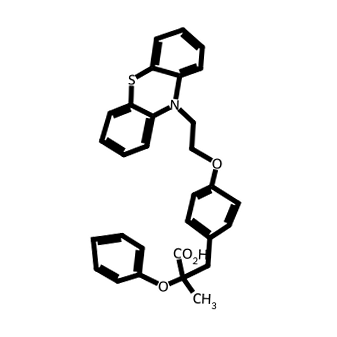 CC(Cc1ccc(OCCN2c3ccccc3Sc3ccccc32)cc1)(Oc1ccccc1)C(=O)O